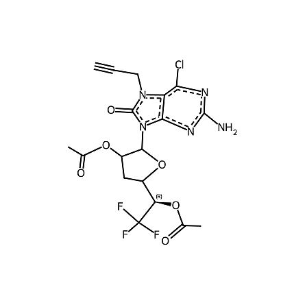 C#CCn1c(=O)n(C2OC([C@@H](OC(C)=O)C(F)(F)F)CC2OC(C)=O)c2nc(N)nc(Cl)c21